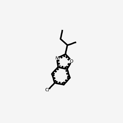 CCC(C)c1nc2cc(Cl)ccc2o1